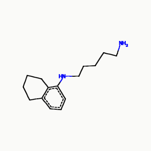 NCCCCCNc1cccc2c1CCCC2